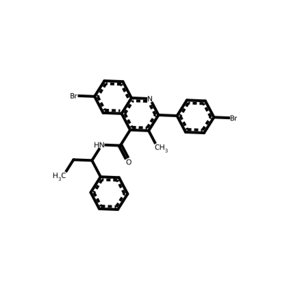 CCC(NC(=O)c1c(C)c(-c2ccc(Br)cc2)nc2ccc(Br)cc12)c1ccccc1